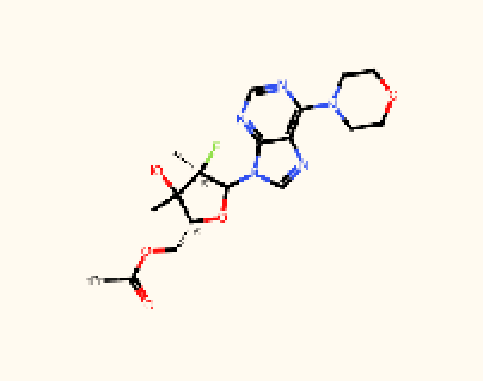 CCCC(=O)OC[C@H]1OC(n2cnc3c(N4CCOCC4)ncnc32)[C@](C)(F)C1(C)O